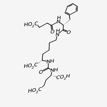 O=C(O)CCC(=O)N[C@H](Cc1ccccc1)C(=O)NCCCC[C@H](NC(=O)N[C@@H](CCC(=O)O)C(=O)O)C(=O)O